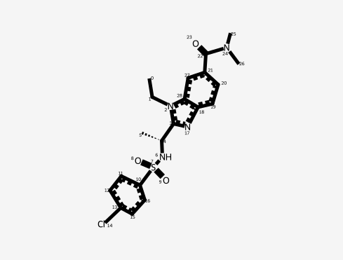 CCn1c([C@@H](C)NS(=O)(=O)c2ccc(Cl)cc2)nc2ccc(C(=O)N(C)C)cc21